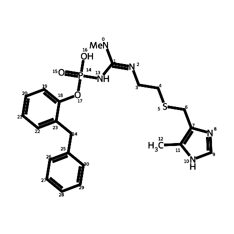 CN/C(=N/CCSCc1nc[nH]c1C)NP(=O)(O)Oc1ccccc1Cc1ccccc1